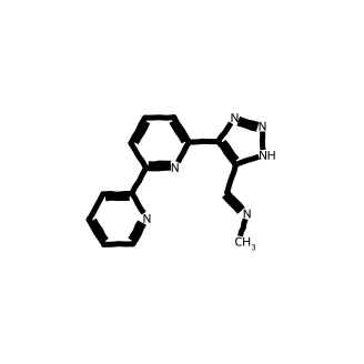 CN=Cc1[nH]nnc1-c1cccc(-c2ccccn2)n1